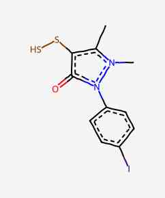 Cc1c(SS)c(=O)n(-c2ccc(I)cc2)n1C